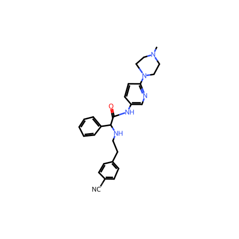 CN1CCN(c2ccc(NC(=O)C(NCCc3ccc(C#N)cc3)c3ccccc3)cn2)CC1